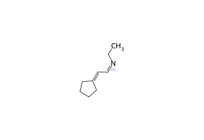 CC/N=C\C=C1CCCC1